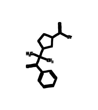 CC(C)C(=O)C1CCC(C(C)(C)C(=O)c2ccccc2)C1